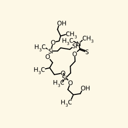 CC(CO)CO[Si](C)(CCCOC(=S)N(C)C)OCC(C)CO[Si@@](C)(CCCS)OCC(C)CO